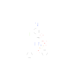 CCc1cccc(OCc2ccccc2)c1S(=O)(=O)NC(=O)c1cc2c(F)cc(N3CCC3)cc2o1